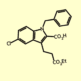 CCOC(=O)CCc1c(C(=O)O)n(Cc2ccccc2)c2ccc(Cl)cc12